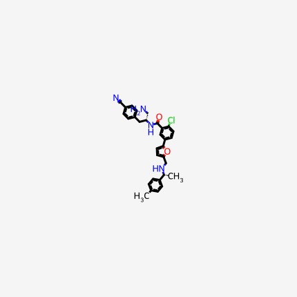 Cc1ccc([C@@H](C)NCc2ccc(-c3ccc(Cl)c(C(=O)N[C@@H](CN)Cc4ccc(C#N)cc4)c3)o2)cc1